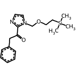 C[Si](C)(C)CCOCn1ccnc1C(=O)Cc1ccccc1